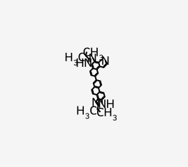 CC(C)c1nc2c(ccc3c4ccc(-c5ccc6c(c5)c5ccncc5c5nc(C(C)C)[nH]c65)cc4ccc32)[nH]1